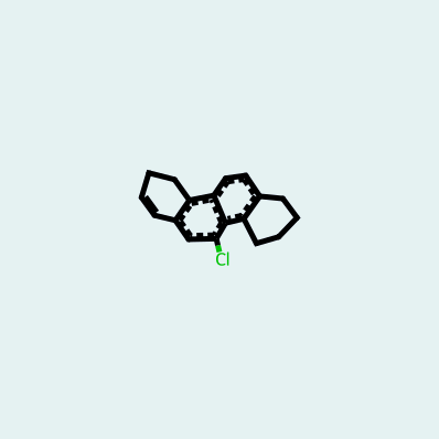 Clc1cc2c(c3ccc4c(c13)CCCC4)CCC=C2